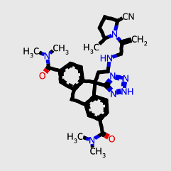 C=C(CNCCC1(c2nn[nH]n2)c2ccc(C(=O)N(C)C)cc2Cc2cc(C(=O)N(C)C)ccc21)N1C(C)CCC1C#N